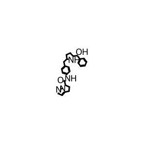 O=C(Nc1ccc(CC2CCC(C(O)c3ccccc3)N2)cc1)C1CCc2ccnn21